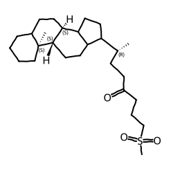 C[C@H](CCC(=O)CCCS(C)(=O)=O)C1CCC2C1CC[C@H]1[C@H]2CCC2CCCC[C@@]21C